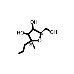 CCC[C@@]1(C)O[C@H](CO)C(O)C1O